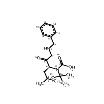 CC(C)C[C@@H](C(=O)CNCc1ccccc1)N(C(=O)O)C(C)(C)C